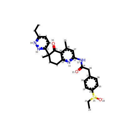 CCc1ccc(C2(C)CCc3nc(NC(=O)Cc4ccc([S+]([O-])CC)cc4)cc(C)c3C2=O)nn1